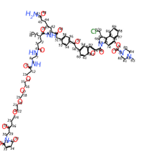 CC(C)[C@H](CCC(=O)NCCNC(=O)CCOCCOCCOCCOCCCC(=O)CCN1C(=O)C=CC1=O)C(=O)N[C@@H](CCCCC(N)=O)C(=O)Cc1ccc(C(=O)Cc2ccc3oc(C(=O)N4C[C@@H](CCl)c5c4cc(OC(=O)N4CCN(C)CC4)c4ccccc54)cc3c2)cc1